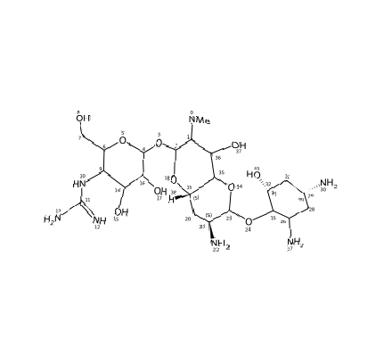 CNC1C(OC2OC(CO)C(NC(=N)N)C(O)C2O)O[C@H]2C[C@H](N)C(OC3C(N)C[C@@H](N)C[C@H]3O)OC2C1O